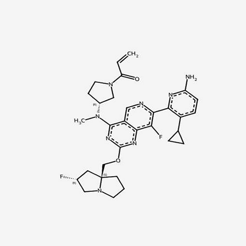 C=CC(=O)N1CC[C@@H](N(C)c2nc(OC[C@@]34CCCN3C[C@H](F)C4)nc3c(F)c(-c4nc(N)ccc4C4CC4)ncc23)C1